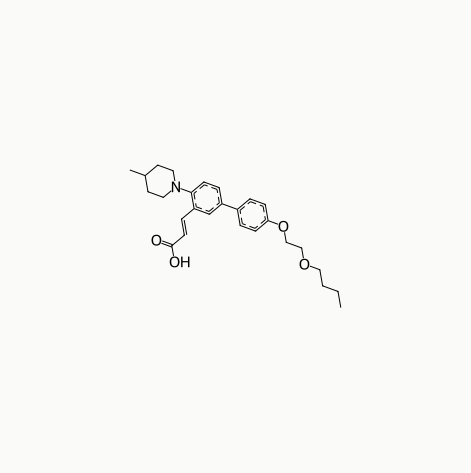 CCCCOCCOc1ccc(-c2ccc(N3CCC(C)CC3)c(C=CC(=O)O)c2)cc1